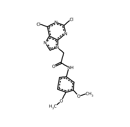 COc1ccc(NC(=O)Cn2cnc3c(Cl)nc(Cl)nc32)cc1OC